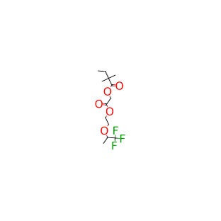 CCC(C)(C)C(=O)OCC(=O)OCCOC(C)C(F)(F)F